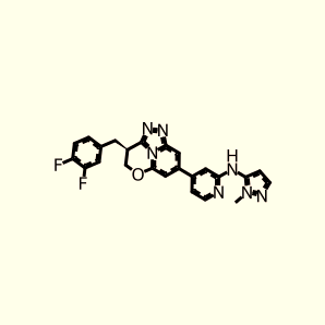 Cn1nccc1Nc1cc(-c2cc3n4c(nnc4c2)[C@H](Cc2ccc(F)c(F)c2)CO3)ccn1